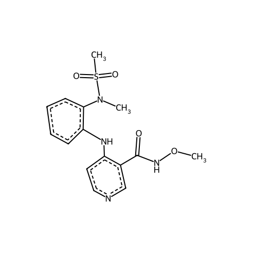 CONC(=O)c1cnccc1Nc1ccccc1N(C)S(C)(=O)=O